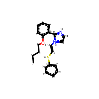 CCCCOc1ccccc1-c1nccn1C=CSc1ccccc1